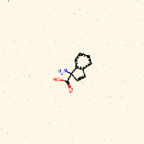 NC1(C(=O)O)C=Cc2ccccc21